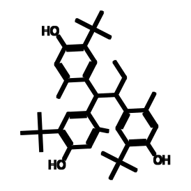 CCC(c1cc(C(C)(C)C)c(O)cc1C)C(c1cc(C(C)(C)C)c(O)cc1C)c1cc(C(C)(C)C)c(O)cc1C